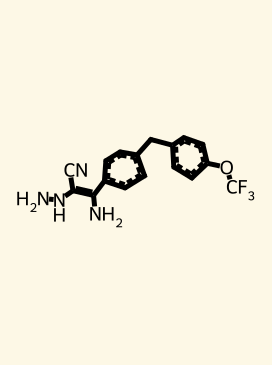 N#C/C(NN)=C(/N)c1ccc(Cc2ccc(OC(F)(F)F)cc2)cc1